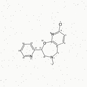 CN1Cc2ccc(Cl)nc2OC(c2ccccn2)C1